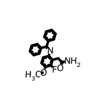 COc1ccc(N=C(c2ccccc2)c2ccccc2)c(CC(N)=O)c1F